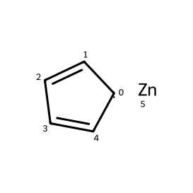 [CH]1C=CC=C1.[Zn]